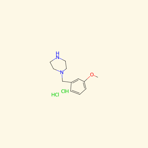 COc1cccc(CN2CCNCC2)c1.Cl.Cl